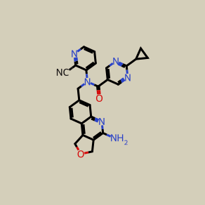 N#Cc1ncccc1N(Cc1ccc2c3c(c(N)nc2c1)COC3)C(=O)c1cnc(C2CC2)nc1